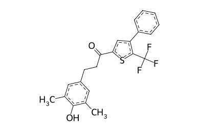 Cc1cc(CCC(=O)c2cc(-c3ccccc3)c(C(F)(F)F)s2)cc(C)c1O